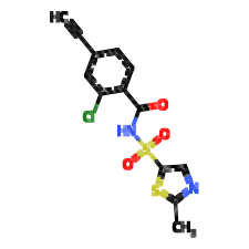 C#Cc1ccc(C(=O)NS(=O)(=O)c2cnc(C)s2)c(Cl)c1